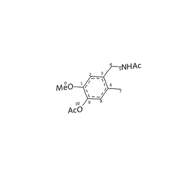 COc1cc(CNC(C)=O)c(C)cc1OC(C)=O